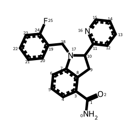 NC(=O)c1cccc2c1CC(c1ccccn1)N2Cc1ccccc1F